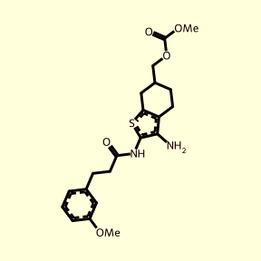 COC(=O)OCC1CCc2c(sc(NC(=O)CCc3cccc(OC)c3)c2N)C1